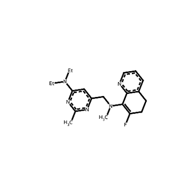 CCN(CC)c1cc(CN(C)C2=C(F)CCc3cccnc32)nc(C)n1